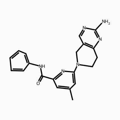 Cc1cc(C(=O)Nc2ccccc2)nc(N2CCc3nc(N)ncc3C2)c1